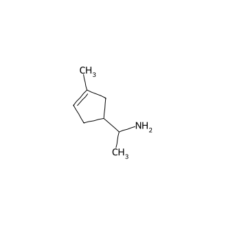 CC1=CCC(C(C)N)C1